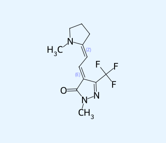 CN1N=C(C(F)(F)F)/C(=C\C=C2\CCCN2C)C1=O